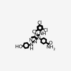 NC(=O)C1CCC(n2c(Nc3c(Cl)cc(Cl)cc3Cl)nc3cnc(NC4CCC(O)CC4)nc32)CC1